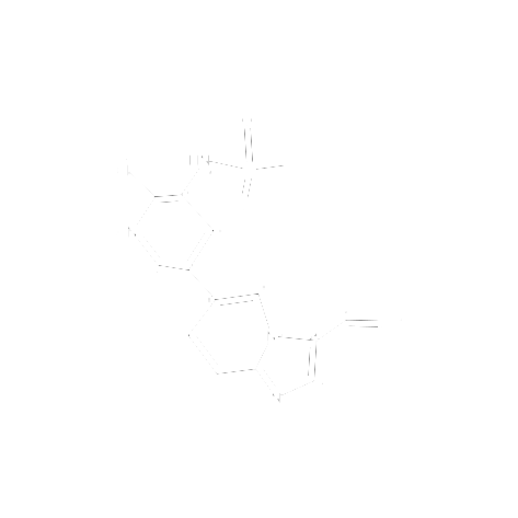 CS(=O)(=O)Nc1cc(-c2ccc3ncc(C=O)n3c2)cnc1Cl